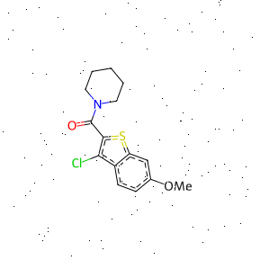 COc1ccc2c(Cl)c(C(=O)N3CCCCC3)sc2c1